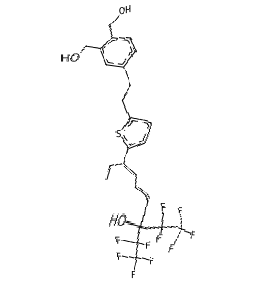 CC/C(=C\C=C\C(O)(C(F)(F)C(F)(F)F)C(F)(F)C(F)(F)F)c1ccc(CCc2ccc(CO)c(CO)c2)s1